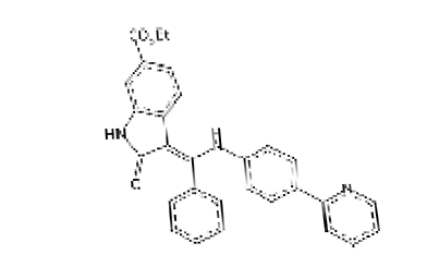 CCOC(=O)c1ccc2c(c1)NC(=O)C2=C(Nc1ccc(-c2ccccn2)cc1)c1ccccc1